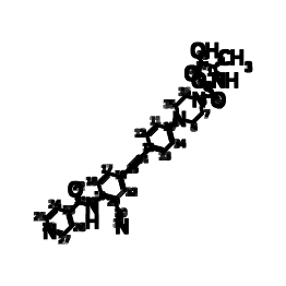 C[C@@H](NS(=O)(=O)N1CCN(c2ccc(C#Cc3ccc(NC(=O)c4ccncc4)c(C#N)c3)cc2)CC1)C(=O)O